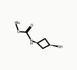 CC(C)(C)OC(=O)N[C@H]1C[C@@H](S)C1